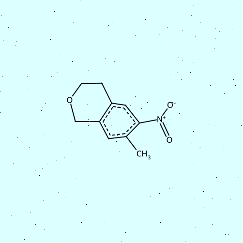 Cc1cc2c(cc1[N+](=O)[O-])CCOC2